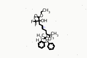 CCOC(=O)[C@](O)(C/C=C/CC[C@H](C)O[Si](c1ccccc1)(c1ccccc1)C(C)(C)C)C(F)(F)F